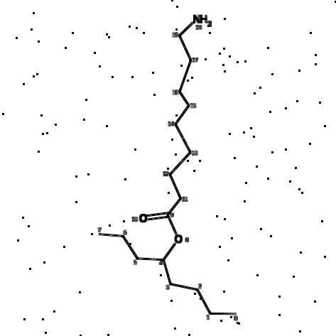 CCCCC(CCC)OC(=O)CCCCCCCCN